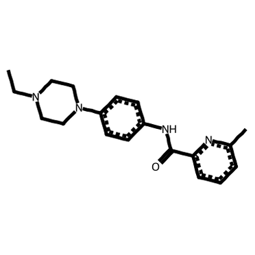 CCN1CCN(c2ccc(NC(=O)c3cccc(C)n3)cc2)CC1